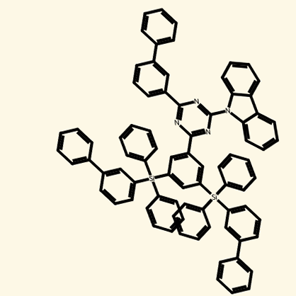 c1ccc(-c2cccc(-c3nc(-c4cc([Si](c5ccccc5)(c5ccccc5)c5cccc(-c6ccccc6)c5)cc([Si](c5ccccc5)(c5ccccc5)c5cccc(-c6ccccc6)c5)c4)nc(-n4c5ccccc5c5ccccc54)n3)c2)cc1